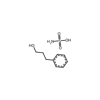 NS(=O)(=O)O.OCCCc1ccccc1